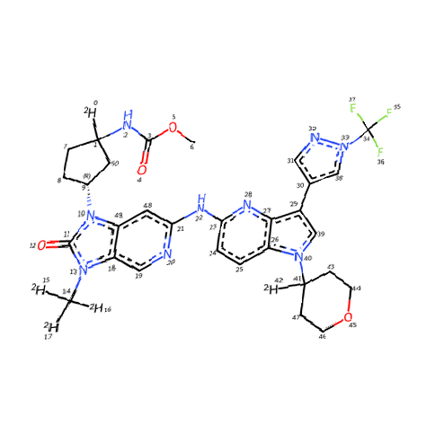 [2H]C1(NC(=O)OC)CC[C@@H](n2c(=O)n(C([2H])([2H])[2H])c3cnc(Nc4ccc5c(n4)c(-c4cnn(C(F)(F)F)c4)cn5C4([2H])CCOCC4)cc32)C1